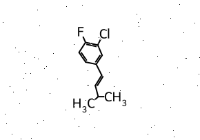 CC(C)/C=C/c1ccc(F)c(Cl)c1